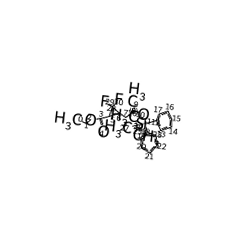 CCOC(=O)C1C(C[C@H](C)O[Si](c2ccccc2)(c2ccccc2)C(C)(C)C)C1(F)F